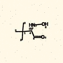 CC(C)(C)[C@@H](C=O)NO